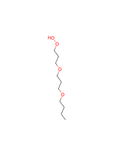 CCCCOCCCOCCCOO